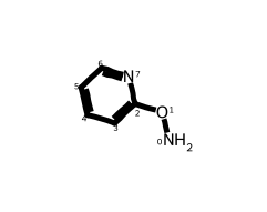 NOc1ccccn1